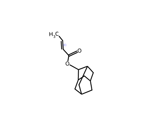 C/C=C/C(=O)OC1C2CC3CC(C2)CC1C3